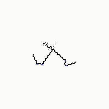 CCCCC/C=C\C/C=C\CCCCCCCCC1(CCCCCCCC/C=C\C/C=C\CCCCC)OCC(CC[N+](C)(C)C)O1.[I-]